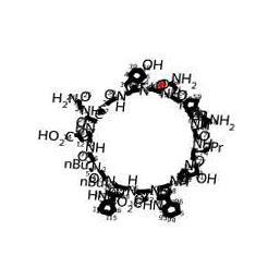 CCCC[C@H]1C(=O)N(C)[C@@H](CCCC)C(=O)N[C@@H](CCC(=O)O)C(=O)NC(C(=O)NCC(N)=O)CSCC(=O)N[C@@H](Cc2ccc(O)cc2)C(=O)N(C)[C@@H](C)C(=O)N[C@@H](CC(N)=O)C(=O)N2CCC[C@H]2C(=O)N[C@@H](CC(N)=O)C(=O)N[C@@H](CC(C)C)C(=O)N2C[C@H](O)C[C@H]2C(=O)N[C@@H](Cc2c[nH]c3ccccc23)C(=O)N[C@@H](CC(=O)O)C(=O)N[C@@H](Cc2c[nH]c3ccccc23)C(=O)N1C